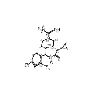 C=C(NCc1ccc(Cl)cc1F)N(C1CC1)[C@@H]1CCCN(C(=N)N)C1